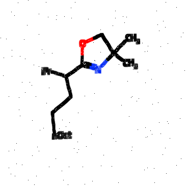 CCCCCCCCCCC(C1=NC(C)(C)CO1)C(C)C